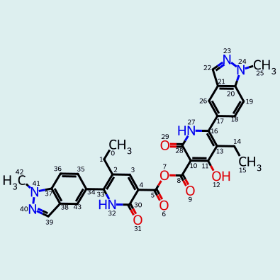 CCc1cc(C(=O)OC(=O)c2c(O)c(CC)c(-c3ccc4c(cnn4C)c3)[nH]c2=O)c(=O)[nH]c1-c1ccc2c(cnn2C)c1